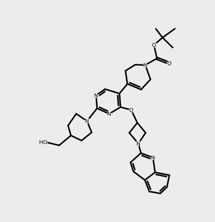 CC(C)(C)OC(=O)N1CC=C(c2cnc(N3CCC(CO)CC3)nc2OC2CN(c3ccc4ccccc4n3)C2)CC1